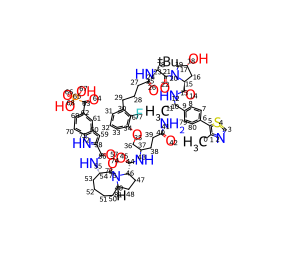 Cc1ncsc1-c1ccc([C@H](C)NC(=O)[C@@H]2C[C@@H](O)CN2C(=O)[C@@H](NC(=O)CCCc2cccc(OCC(CCC(N)=O)NC(=O)[C@@H]3CC[C@@H]4CCCC[C@H](NC(=O)c5cc6cc(C(=O)P(=O)(O)O)ccc6[nH]5)C(=O)N43)c2F)C(C)(C)C)cc1